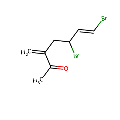 C=C(CC(Br)/C=C/Br)C(C)=O